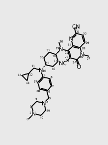 CN1CCN(Cc2ccc(N(CC3CC3)[C@H]3CC[C@H](N(C)c4c(C#N)c(=O)n(C)c5ccc(C#N)nc45)CC3)cc2)CC1